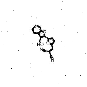 N#CC(C#N)=Cc1ccc(-c2oc3ccccc3c2CO)o1